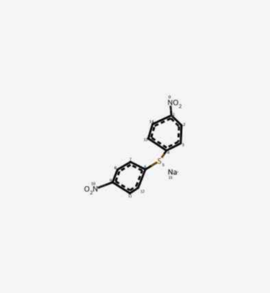 O=[N+]([O-])c1ccc(Sc2ccc([N+](=O)[O-])cc2)cc1.[Na]